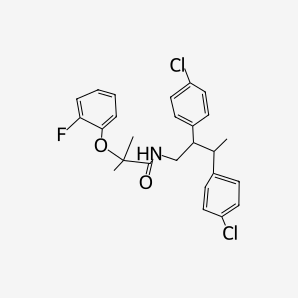 CC(c1ccc(Cl)cc1)C(CNC(=O)C(C)(C)Oc1ccccc1F)c1ccc(Cl)cc1